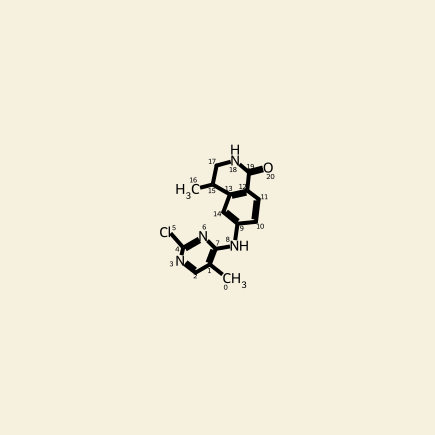 Cc1cnc(Cl)nc1Nc1ccc2c(c1)C(C)CNC2=O